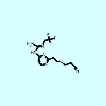 N#CCCOCCc1nccc(NC(N)=NCC(F)(F)F)n1